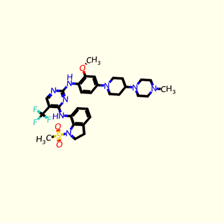 COc1cc(N2CCC(N3CCN(C)CC3)CC2)ccc1Nc1ncc(C(F)(F)F)c(Nc2cccc3c2N(S(C)(=O)=O)CC3)n1